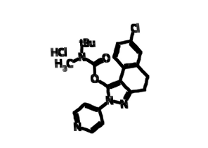 CN(C(=O)Oc1c2c(nn1-c1ccncc1)CCc1cc(Cl)ccc1-2)C(C)(C)C.Cl